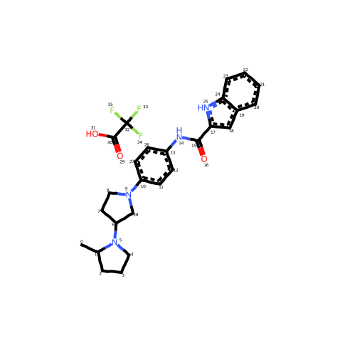 CC1CCCN1C1CCN(c2ccc(NC(=O)c3cc4ccccc4[nH]3)cc2)C1.O=C(O)C(F)(F)F